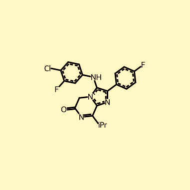 CC(C)C1=NC(=O)Cn2c1nc(-c1ccc(F)cc1)c2Nc1ccc(Cl)c(F)c1